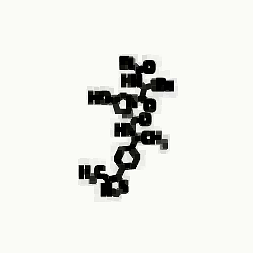 CCC(=O)NC(C(=O)N1C[C@H](O)C[C@H]1C(=O)N[C@@H](C)c1ccc(-c2scnc2C)cc1)C(C)(C)C